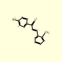 Cc1ccccc1/C=C/C(=O)c1ccc(Br)cc1